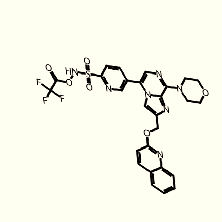 O=C(ONS(=O)(=O)c1ccc(-c2cnc(N3CCOCC3)c3nc(COc4ccc5ccccc5n4)cn23)cn1)C(F)(F)F